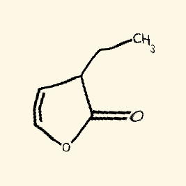 CCC1C=COC1=O